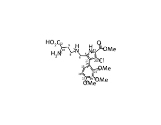 COC(=O)c1[nH]c(CNCCC(N)C(=O)O)c(-c2ccc(OC)c(OC)c2OC)c1Cl